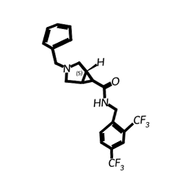 O=C(NCc1ccc(C(F)(F)F)cc1C(F)(F)F)C1C2CN(Cc3ccccc3)C[C@@H]21